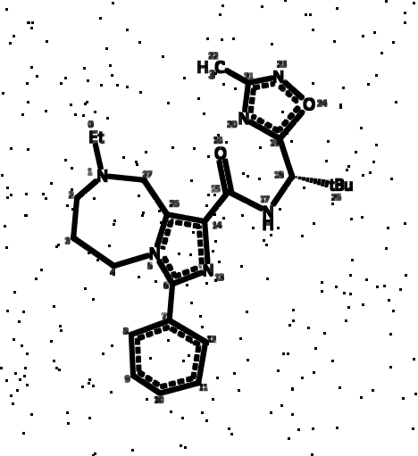 CCN1CCCn2c(-c3ccccc3)nc(C(=O)N[C@H](c3nc(C)no3)C(C)(C)C)c2C1